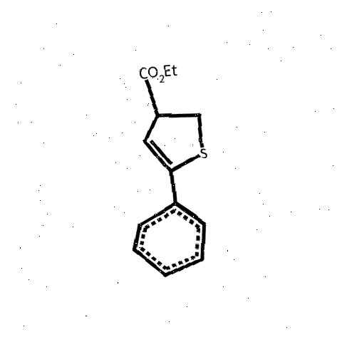 CCOC(=O)C1C=C(c2ccccc2)SC1